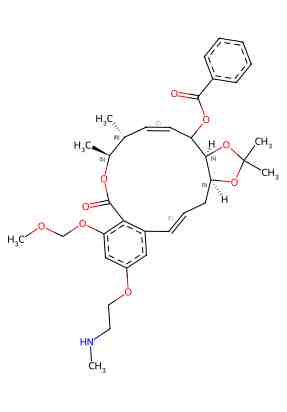 CNCCOc1cc2c(c(OCOC)c1)C(=O)O[C@@H](C)[C@H](C)/C=C\C(OC(=O)c1ccccc1)[C@H]1OC(C)(C)O[C@H]1C/C=C/2